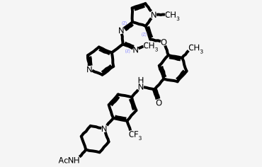 C\N=C(/N=C1/C=CN(C)/C1=C\Oc1cc(C(=O)Nc2ccc(N3CCC(NC(C)=O)CC3)c(C(F)(F)F)c2)ccc1C)c1ccncc1